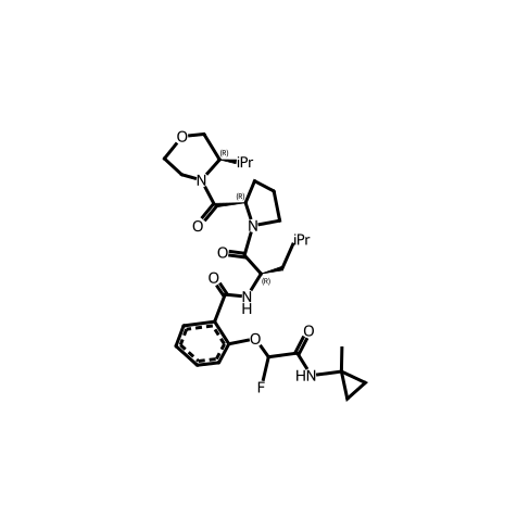 CC(C)C[C@@H](NC(=O)c1ccccc1OC(F)C(=O)NC1(C)CC1)C(=O)N1CCC[C@@H]1C(=O)N1CCOC[C@H]1C(C)C